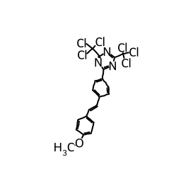 COc1ccc(C=Cc2ccc(-c3nc(C(Cl)(Cl)Cl)nc(C(Cl)(Cl)Cl)n3)cc2)cc1